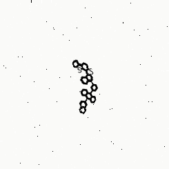 c1cc(-c2c3ccccc3c(-c3ccc4ccccc4c3)c3ccccc23)cc(-c2cc3sc4ccc5c6ccccc6sc5c4c3c3ccccc23)c1